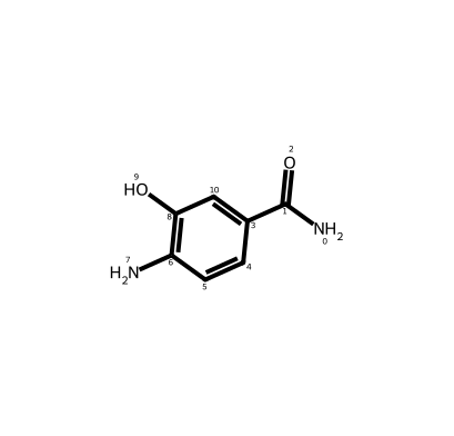 NC(=O)c1ccc(N)c(O)c1